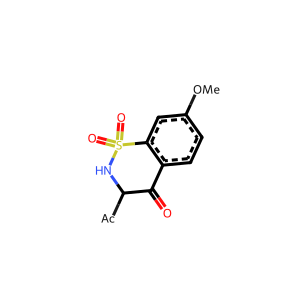 COc1ccc2c(c1)S(=O)(=O)NC(C(C)=O)C2=O